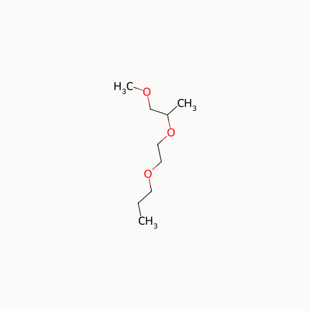 CCCOCCOC(C)COC